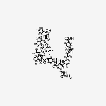 CC[C@H](C)[C@@H]([C@@H](CC(=O)N1CCC[C@H]1[C@H](OC)[C@@H](C)C(=O)N[C@H](C)[C@@H](O)c1ccccc1)C(C)=O)N(C)C(=O)[C@@H](NC(=O)[C@H](C(C)C)N(C)C(=O)C(=O)Cc1ccc(NC(=O)[C@H](CCCNC(N)=O)NC(=O)[C@@H](NC(=O)CC(=O)CNS(=O)(=O)N2CCC(C(=O)O)CC2)C(C)C)cc1)C(C)C